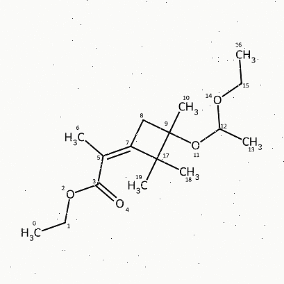 CCOC(=O)C(C)=C1CC(C)(OC(C)OCC)C1(C)C